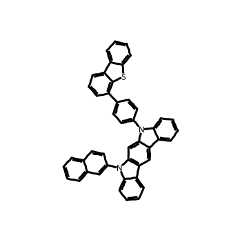 c1ccc2cc(-n3c4ccccc4c4cc5c6ccccc6n(-c6ccc(-c7cccc8c7sc7ccccc78)cc6)c5cc43)ccc2c1